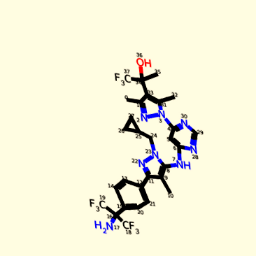 Cc1nn(-c2cc(Nc3c(C)c(-c4ccc(C(N)(C(F)(F)F)C(F)(F)F)cc4)nn3CC3CC3)ncn2)c(C)c1C(C)(O)C(F)(F)F